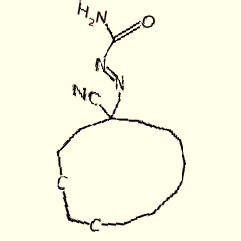 N#CC1(N=NC(N)=O)CCCCCCCCCCC1